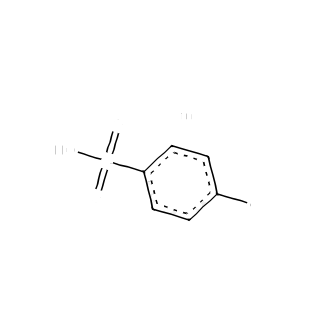 Cc1ccc(S(=O)(=O)O)cc1.[Sm]